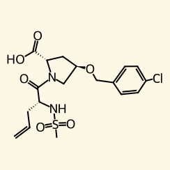 C=CC[C@@H](NS(C)(=O)=O)C(=O)N1C[C@H](OCc2ccc(Cl)cc2)C[C@H]1C(=O)O